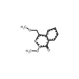 COCc1nn(OC)c(=O)c2ccccc12